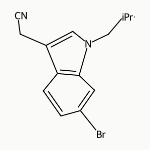 C[C](C)Cn1cc(CC#N)c2ccc(Br)cc21